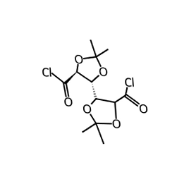 CC1(C)OC(C(=O)Cl)C([C@H]2OC(C)(C)O[C@@H]2C(=O)Cl)O1